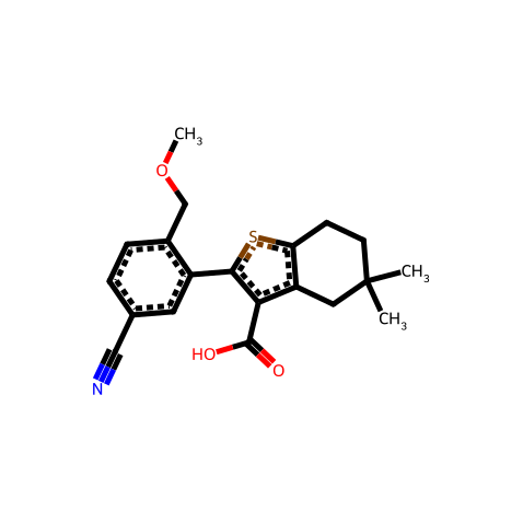 COCc1ccc(C#N)cc1-c1sc2c(c1C(=O)O)CC(C)(C)CC2